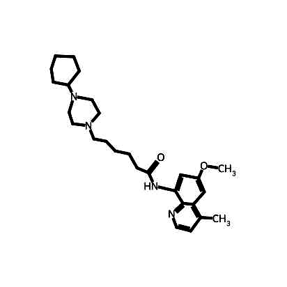 COc1cc(NC(=O)CCCCCN2CCN(C3CCCCC3)CC2)c2nccc(C)c2c1